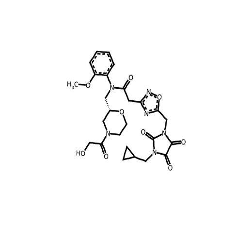 COc1ccccc1N(C[C@H]1CN(C(=O)CO)CCO1)C(=O)Cc1noc(CN2C(=O)C(=O)N(CC3CC3)C2=O)n1